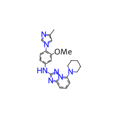 COc1cc(Nc2nc3cccc(N4CCCCC4)n3n2)ccc1-n1cnc(C)c1